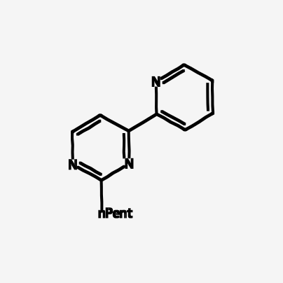 CCCCCc1nccc(-c2ccccn2)n1